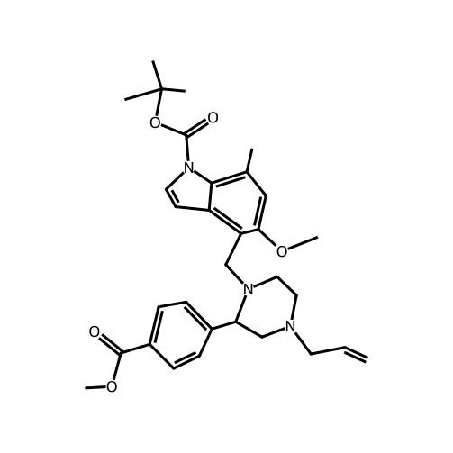 C=CCN1CCN(Cc2c(OC)cc(C)c3c2ccn3C(=O)OC(C)(C)C)C(c2ccc(C(=O)OC)cc2)C1